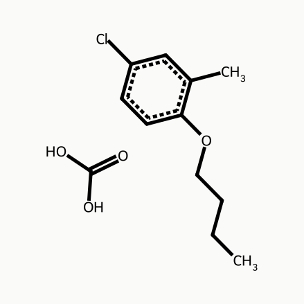 CCCCOc1ccc(Cl)cc1C.O=C(O)O